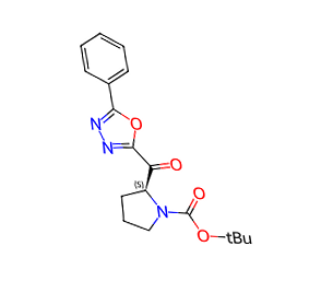 CC(C)(C)OC(=O)N1CCC[C@H]1C(=O)c1nnc(-c2ccccc2)o1